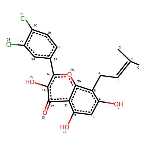 CC(C)=CCc1c(O)cc(O)c2c(=O)c(O)c(-c3ccc(Cl)c(Cl)c3)oc12